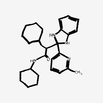 Cc1cccc(C2(C(C(=O)NC3CCCCC3)C3CCCCC3)Nc3ccccc3N2)n1